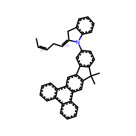 C/C=C\C/C=C1\Cc2ccccc2N1c1ccc2c(c1)-c1cc3c4ccccc4c4ccccc4c3cc1C2(C)C